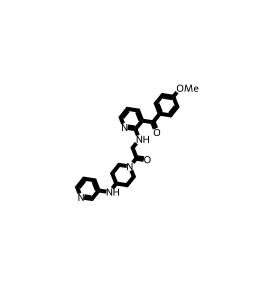 COc1ccc(C(=O)c2cccnc2NCC(=O)N2CCC(Nc3cccnc3)CC2)cc1